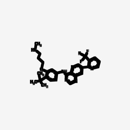 CNCCCOc1cc(Nc2ncnc3cc(-c4ncccc4C(F)(F)F)cnc23)ccc1C(C)(C)C